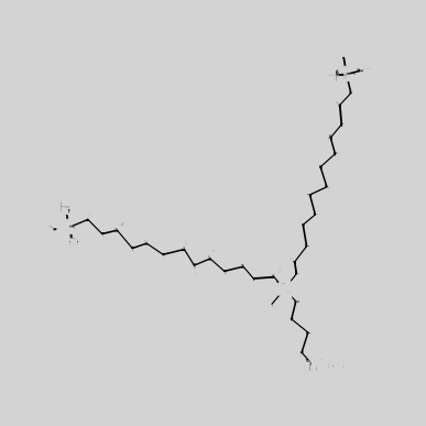 [3H][Si]([3H])(C)CCCCCCCCCCCCC[Si](C)(CCCCCCCCCCCCCC)CCCCCCCCCCCCC[Si]([3H])([3H])C